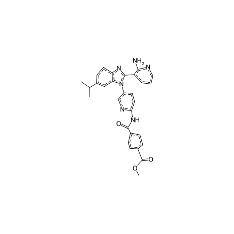 COC(=O)c1ccc(C(=O)Nc2ccc(-n3c(-c4cccnc4N)nc4ccc(C(C)C)cc43)cn2)cc1